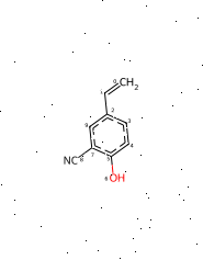 C=Cc1ccc(O)c(C#N)c1